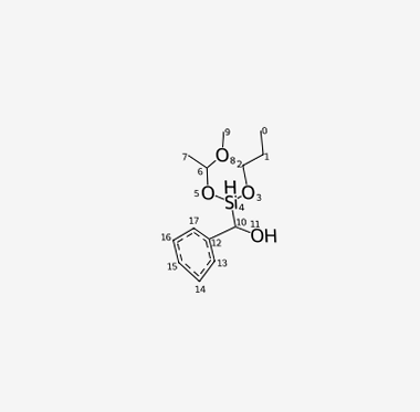 CCCO[SiH](OC(C)OC)C(O)c1ccccc1